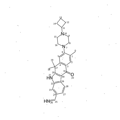 Cc1cc2c(cc1N1CCN(C3CCC3)CC1)C(C)(C)c1[nH]c3cc(C=N)ccc3c1C2=O